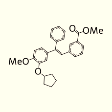 COC(=O)c1cccc(/C=C(\c2ccccc2)c2ccc(OC)c(OC3CCCC3)c2)c1